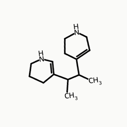 CC(C1=CNCCC1)C(C)C1=CCNCC1